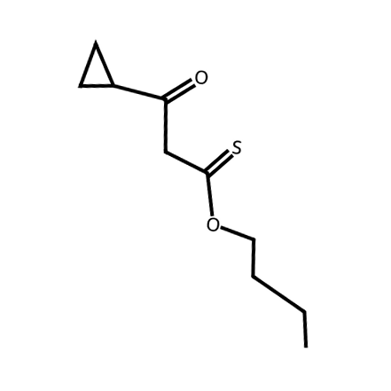 CCCCOC(=S)CC(=O)C1CC1